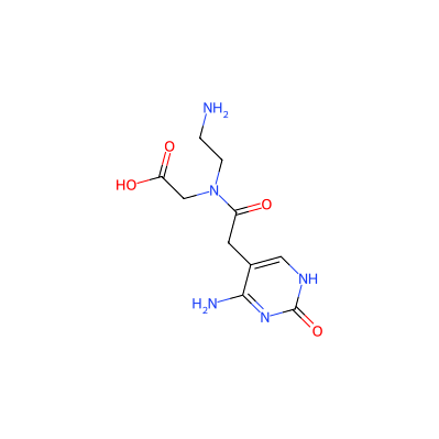 NCCN(CC(=O)O)C(=O)Cc1c[nH]c(=O)nc1N